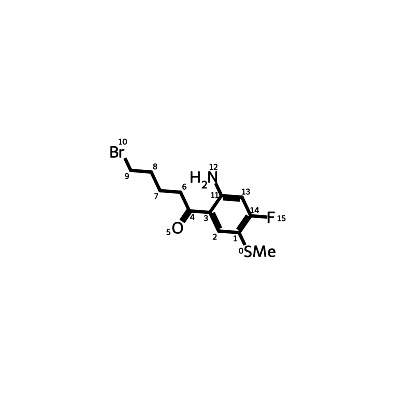 CSc1cc(C(=O)CCCCBr)c(N)cc1F